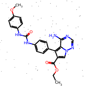 CCOC(=O)c1cn2ncnc(N)c2c1-c1ccc(NC(=O)Nc2ccc(OC)cc2)cc1